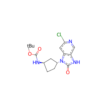 CC(C)(C)OC(=O)N[C@@H]1CC[C@@H](n2c(=O)[nH]c3cnc(Cl)cc32)C1